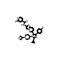 O=C(Nc1cn2nc(-c3c(-c4ccc(F)cc4)nc(C4CC4)n3C3CCN(C4COC4)CC3)ccc2n1)c1ccnc(F)c1